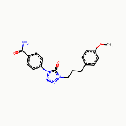 COc1ccc(CCCn2nnn(-c3ccc(C(N)=O)cc3)c2=O)cc1